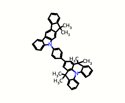 CC1(C)c2ccccc2-c2cc3c4ccccc4n(-c4ccc(-c5cc6c7c(c5)C(C)(C)c5ccccc5N7c5ccccc5C6(C)C)cc4)c3cc21